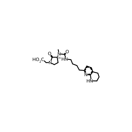 CN(C(=O)NCCCCc1ccc2c(n1)NCCC2)[C@H]1CCN(CC(=O)O)C1=O